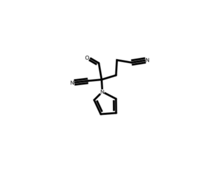 N#CCCC(C#N)(C=O)n1cccc1